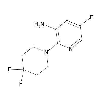 Nc1cc(F)cnc1N1CCC(F)(F)CC1